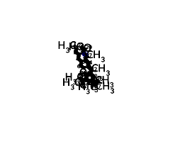 CCCCCCCCOc1c(C(C)=CC=C/C(C)=C/C(=O)O)cc(C(C)(C)C)cc1C(C)(C)C